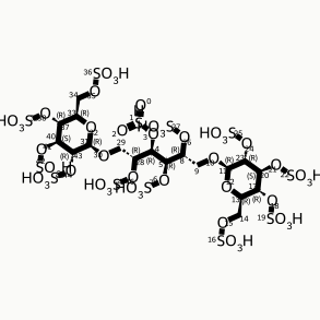 O=[SH](=O)O[C@@H]([C@H](OS(=O)(=O)O)[C@@H](CO[C@@H]1O[C@H](COS(=O)(=O)O)[C@@H](OS(=O)(=O)O)[C@H](OS(=O)(=O)O)[C@H]1OS(=O)(=O)O)OS(=O)(=O)O)[C@@H](CO[C@@H]1O[C@H](COS(=O)(=O)O)[C@@H](OS(=O)(=O)O)[C@H](OS(=O)(=O)O)[C@H]1OS(=O)(=O)O)OS(=O)(=O)O